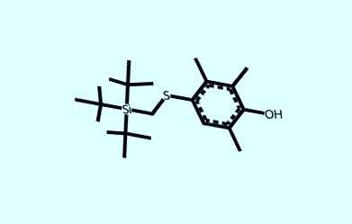 Cc1cc(SC[Si](C(C)(C)C)(C(C)(C)C)C(C)(C)C)c(C)c(C)c1O